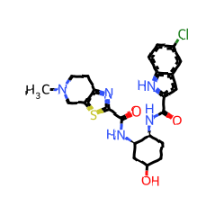 CN1CCc2nc(C(=O)N[C@@H]3CC(O)CC[C@@H]3NC(=O)c3cc4cc(Cl)ccc4[nH]3)sc2C1